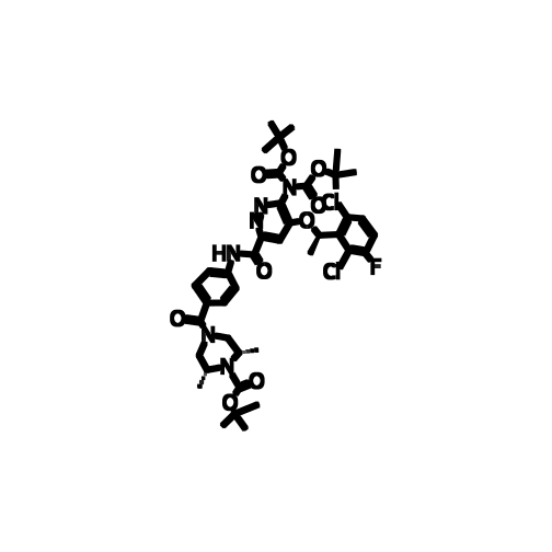 C[C@@H]1CN(C(=O)c2ccc(NC(=O)c3cc(O[C@H](C)c4c(Cl)ccc(F)c4Cl)c(N(C(=O)OC(C)(C)C)C(=O)OC(C)(C)C)nn3)cc2)C[C@H](C)N1C(=O)OC(C)(C)C